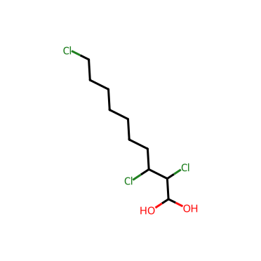 OC(O)C(Cl)C(Cl)CCCCCCCCl